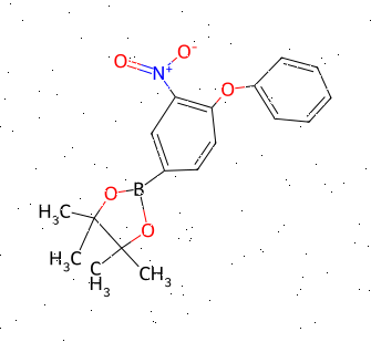 CC1(C)OB(c2ccc(Oc3ccccc3)c([N+](=O)[O-])c2)OC1(C)C